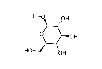 OC[C@H]1O[C@@H](OI)[C@H](O)[C@@H](O)[C@@H]1O